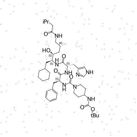 CC(C)CC(=O)NC[C@H](C)C[C@H](O)[C@H](CC1CCCCC1)NC(=O)[C@H](Cc1c[nH]cn1)NC(=O)[C@H](Cc1ccccc1)NC(=O)N1CCC(NC(=O)OC(C)(C)C)CC1